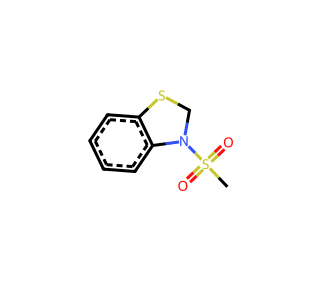 CS(=O)(=O)N1CSc2ccccc21